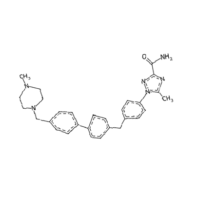 Cc1nc(C(N)=O)nn1-c1ccc(Cc2ccc(-c3ccc(CN4CCN(C)CC4)cc3)cc2)cc1